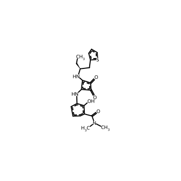 CC[C@@H](Cc1cccs1)Nc1c(Nc2cccc(C(=O)N(C)C)c2O)c(=O)c1=O